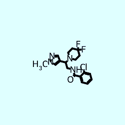 Cn1cc(C(CNC(=O)c2ccccc2Cl)N2CCC(F)(F)CC2)cn1